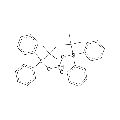 CC(C)(C)[Si](O[PH](=O)O[Si](c1ccccc1)(c1ccccc1)C(C)(C)C)(c1ccccc1)c1ccccc1